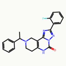 CC(c1ccccc1)N1CCc2[nH]c(=O)n3nc(-c4ccccc4F)nc3c2C1